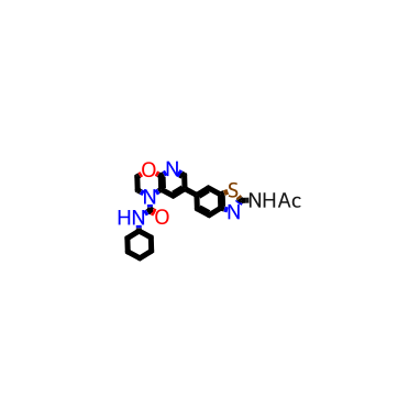 CC(=O)Nc1nc2ccc(-c3cnc4c(c3)N(C(=O)NC3CCCCC3)CCO4)cc2s1